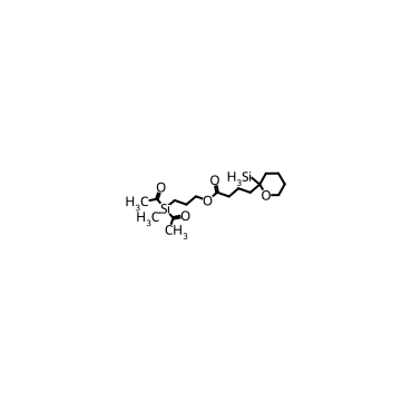 CC(=O)[Si](C)(CCCOC(=O)CCCC1([SiH3])CCCCO1)C(C)=O